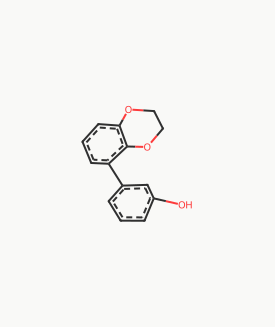 Oc1cccc(-c2cccc3c2OCCO3)c1